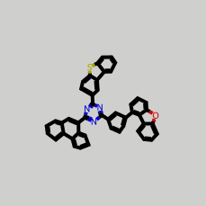 c1cc(-c2nc(-c3ccc4sc5ccccc5c4c3)nc(-c3cc4ccccc4c4ccccc34)n2)cc(-c2cccc3oc4ccccc4c23)c1